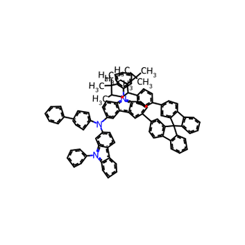 CC(CC(c1ccc(-c2ccc3c(c2)C2(c4ccccc4-3)c3ccccc3-c3ccc(-c4ccc5c(c4)c4cc(N(c6ccc(-c7ccccc7)cc6)c6ccc7c8ccccc8n(-c8ccccc8)c7c6)ccc4n5-c4ccccc4)cc32)cc1)C(C)C(C)(C)C)C(C)(C)C